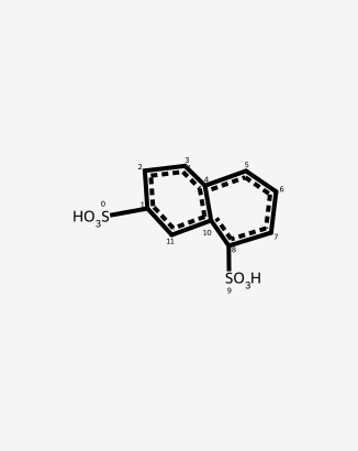 O=S(=O)(O)c1c[c]c2cccc(S(=O)(=O)O)c2c1